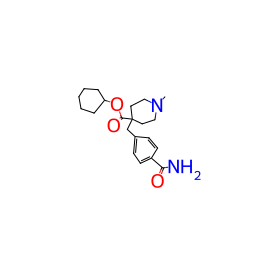 CN1CCC(Cc2ccc(C(N)=O)cc2)(C(=O)OC2CCCCC2)CC1